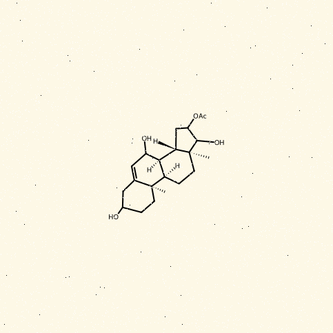 CC(=O)OC1C[C@H]2[C@@H]3C(O)C=C4CC(O)CC[C@]4(C)[C@@H]3CC[C@]2(C)C1O